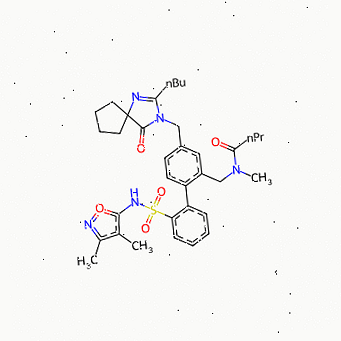 CCCCC1=NC2(CCCC2)C(=O)N1Cc1ccc(-c2ccccc2S(=O)(=O)Nc2onc(C)c2C)c(CN(C)C(=O)CCC)c1